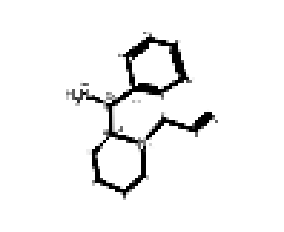 C=CCN1CCCC[C@H]1[C@@H](N)c1ccccc1